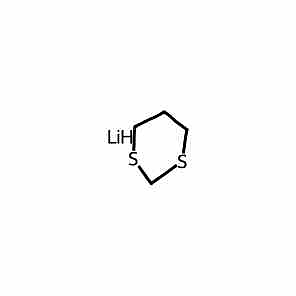 C1CSCSC1.[LiH]